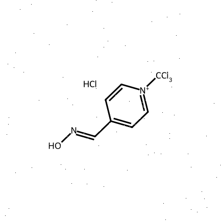 Cl.ON=Cc1cc[n+](C(Cl)(Cl)Cl)cc1